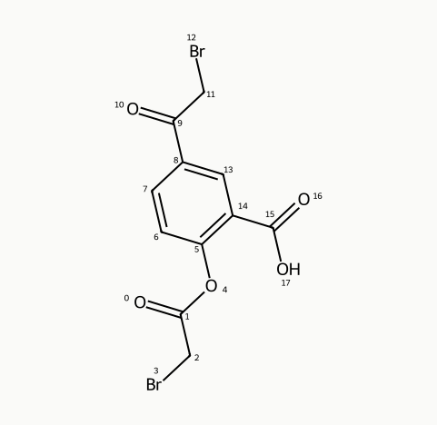 O=C(CBr)Oc1ccc(C(=O)CBr)cc1C(=O)O